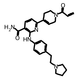 C=CC(=O)N1CC=C(c2ccc(C(N)=O)c(Nc3ccc(CCN4CCCC4)cc3)n2)CC1